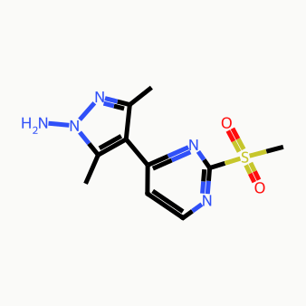 Cc1nn(N)c(C)c1-c1ccnc(S(C)(=O)=O)n1